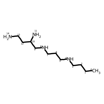 CCCCNCCCNCC(N)CCN